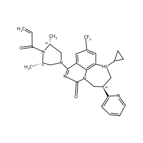 C=CC(=O)N1[C@H](C)CN(c2nc(=O)n3c4c(cc(C(F)(F)F)cc24)[SH](C2CC2)C[C@@H](c2ccccn2)C3)C[C@@H]1C